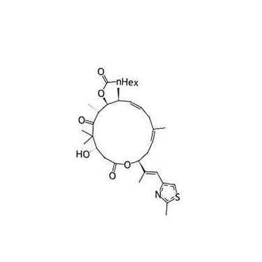 CCCCCCC(=O)O[C@H]1[C@@H](C)/C=C\C/C(C)=C\C[C@@H](/C(C)=C/c2csc(C)n2)OC(=O)C[C@H](O)C(C)(C)C(=O)[C@@H]1C